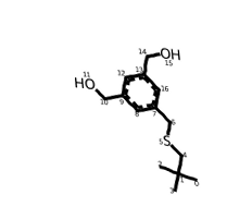 CC(C)(C)CSCc1cc(CO)cc(CO)c1